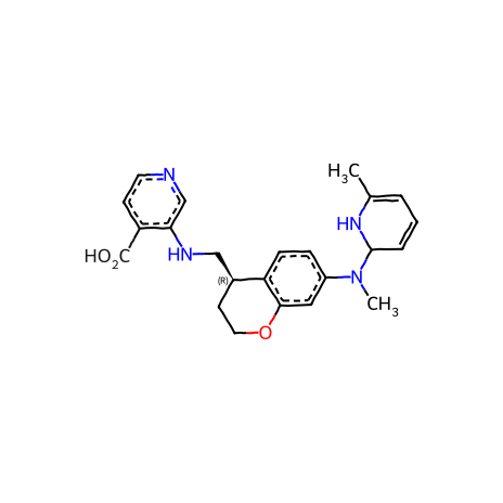 CC1=CC=CC(N(C)c2ccc3c(c2)OCC[C@H]3CNc2cnccc2C(=O)O)N1